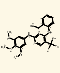 COc1cc(Nc2ncc(C(F)(F)F)c(Nc3ccccc3CO)n2)cc(OC)c1OC